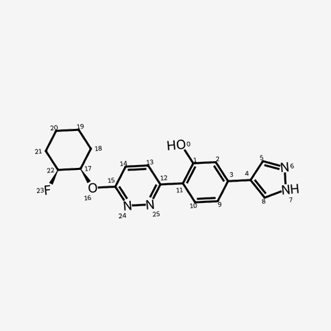 Oc1cc(-c2cn[nH]c2)ccc1-c1ccc(O[C@@H]2CCCC[C@@H]2F)nn1